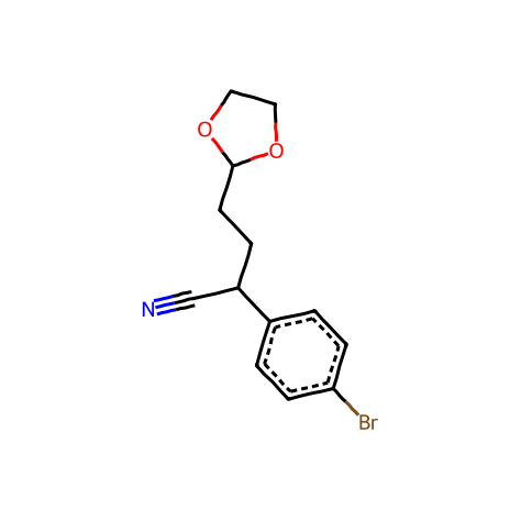 N#CC(CCC1OCCO1)c1ccc(Br)cc1